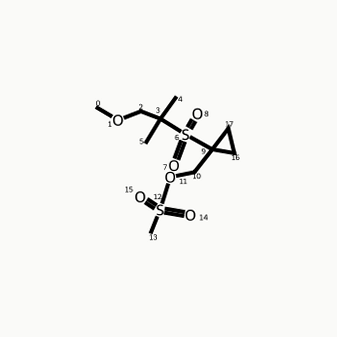 COCC(C)(C)S(=O)(=O)C1(COS(C)(=O)=O)CC1